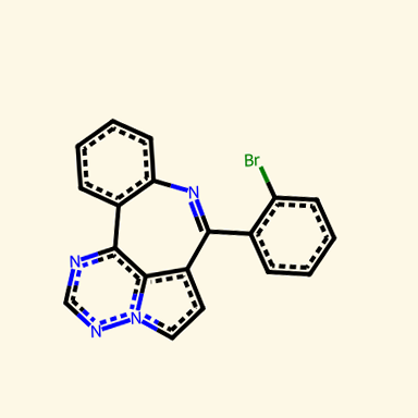 Brc1ccccc1C1=Nc2ccccc2-c2ncnn3ccc1c23